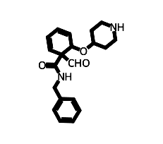 O=CC1(C(=O)NCc2ccccc2)C=CC=CC1OC1CCNCC1